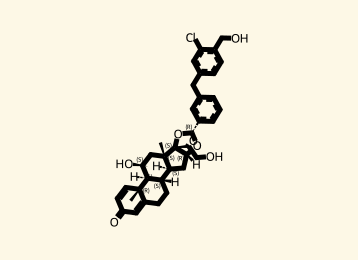 C[C@]12C=CC(=O)C=C1CC[C@@H]1[C@@H]2[C@@H](O)C[C@@]2(C)[C@H]1C[C@H]1O[C@@H](c3cccc(Cc4ccc(CO)c(Cl)c4)c3)O[C@]12C(=O)CO